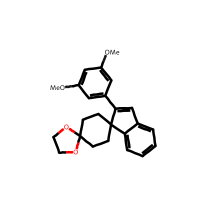 COc1cc(OC)cc(C2=Cc3ccccc3C23CCC2(CC3)OCCO2)c1